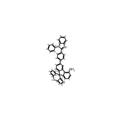 Nc1cccc2c1-c1cc(-c3ccc(-c4nc5ccccc5n4-c4ccccc4)cc3)ccc1C21c2ccccc2Sc2ccccc21